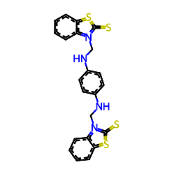 S=c1sc2ccccc2n1CNc1ccc(NCn2c(=S)sc3ccccc32)cc1